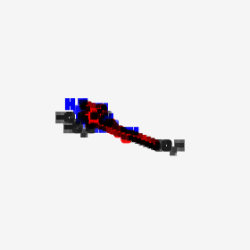 CC(=O)N1CCC[C@H]1C(=O)N[C@@H](CCCCN)C(=O)N[C@@H](CCC(=O)O)C(=O)N[C@@H](CCC(=O)O)C(=O)N[C@@H](CCCCNC(=O)COCCOCCNC(=O)CCCCCCCCCCCCCCC(=O)O)C(N)=O